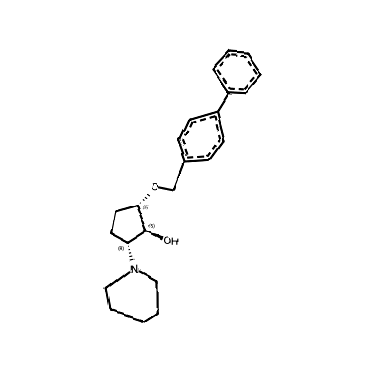 O[C@@H]1[C@@H](OCc2ccc(-c3ccccc3)cc2)CC[C@H]1N1CCCCC1